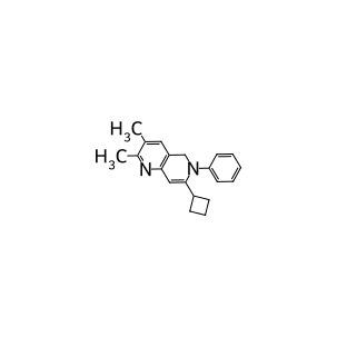 Cc1cc2c(nc1C)C=C(C1CCC1)N(c1ccccc1)C2